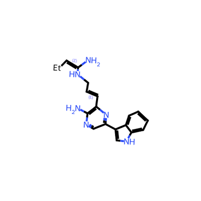 CC/C=C(/N)NC/C=C/c1nc(-c2c[nH]c3ccccc23)cnc1N